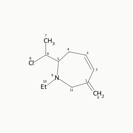 C=C1C=CCC(C(C)Cl)N(CC)C1